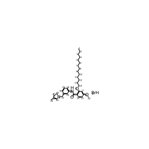 Br.CCCCCCCCCCCCCCOc1cc(OC)ccc1C(=O)Nc1cccc(CN2C=C(C)SC2)c1